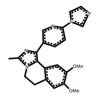 COc1cc2c(cc1OC)-c1c(-c3ccc(-n4ccnc4)nc3)nc(C)n1CC2